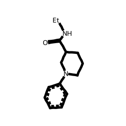 CCNC(=O)C1CCCN(c2ccccc2)C1